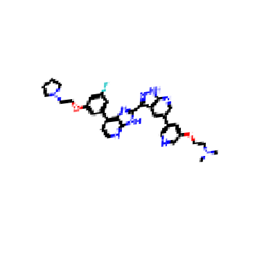 CN(C)CCOc1cncc(-c2cnc3[nH]nc(-c4nc5c(-c6cc(F)cc(OCCN7CCCC7)c6)ccnc5[nH]4)c3c2)c1